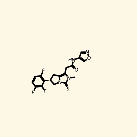 Cn1c(CC(=O)Nc2cnoc2)c2n(c1=S)C[C@@H](c1c(F)ccc(F)c1F)C2